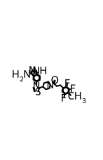 Cc1c(F)cc(CCC(=O)N2CCC(C3SC=CN3c3ccc4[nH]nc(N)c4c3)CC2)c(F)c1F